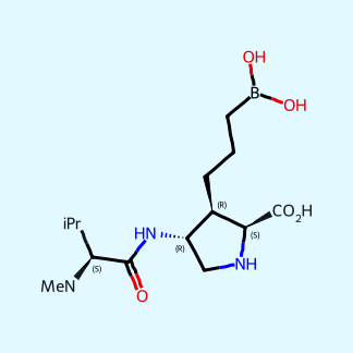 CN[C@H](C(=O)N[C@H]1CN[C@H](C(=O)O)[C@@H]1CCCB(O)O)C(C)C